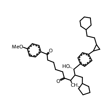 COc1ccc(C(=O)CCCCC(=O)C(C)C(CC2CCCC2)[C@H](O)c2ccc(C3CC3CCC3CCCCC3)cc2)cc1